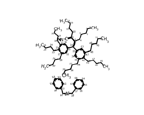 CCCCCC(C(=C=[N+]=[N-])CCCC)=C(c1cc(CCCC)c(CCCC)c(CCCC)c1)c1cc(CCCCC)c(CCCCC)c(CCCCC)c1.c1ccc([CH2][Ni][CH2]c2ccccc2)cc1